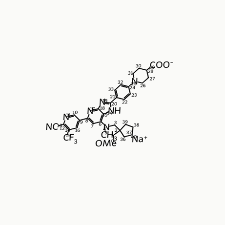 COCC1(CN(C)c2cc(-c3cnc(C#N)c(C(F)(F)F)c3)nc3nc(-c4ccc(N5CCC(C(=O)[O-])CC5)cc4)[nH]c23)CCCC1.[Na+]